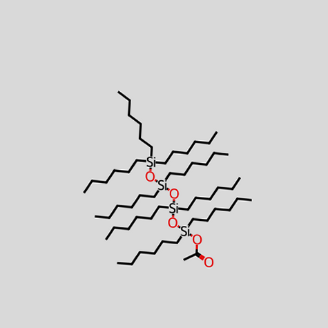 CCCCCC[Si](CCCCCC)(CCCCCC)O[Si](CCCCCC)(CCCCCC)O[Si](CCCCCC)(CCCCCC)O[Si](CCCCCC)(CCCCCC)OC(C)=O